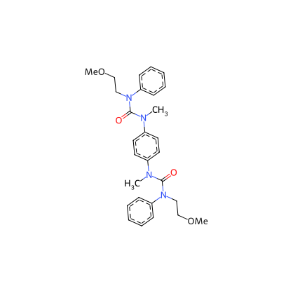 COCCN(C(=O)N(C)c1ccc(N(C)C(=O)N(CCOC)c2ccccc2)cc1)c1ccccc1